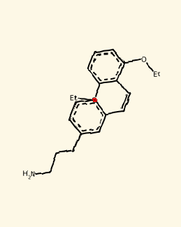 CCOc1cccc(OCC)c1/C=C\c1cccc(CCCN)c1